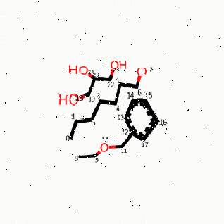 CCCCCCC[O].CCOCc1ccccc1.OCC(O)CO